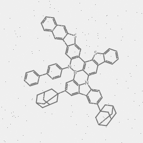 c1ccc(-c2ccc(N3B4c5c(cc6c(sc7ccccc76)c5-c5cc6sc7cc8ccccc8cc7c6cc53)-n3c5ccc(C67CC8CC(CC(C8)C6)C7)cc5c5cc(C67CC8CC(CC(C8)C6)C7)cc4c53)cc2)cc1